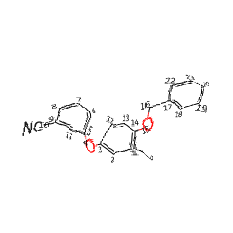 Cc1cc(Oc2cccc(C#N)c2)ccc1OCc1ccccc1